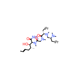 C/C=C/C[C@@H](C)[C@@H](O)C(C(N)=O)N(C)C(=O)CN(C)C(=O)[C@H](CC(C)C)N(C)C[C@H](CC(C)C)N(C)C